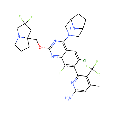 Cc1cc(N)nc(-c2c(Cl)cc3c(N4CC5CCC(C4)N5)nc(OCC45CCCN4CC(F)(F)C5)nc3c2F)c1C(F)(F)F